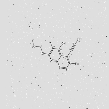 COCOc1cc2ccc(F)c(C#CO)c2c(O)c1C